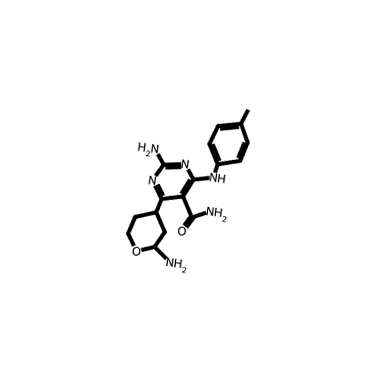 Cc1ccc(Nc2nc(N)nc(C3CCOC(N)C3)c2C(N)=O)cc1